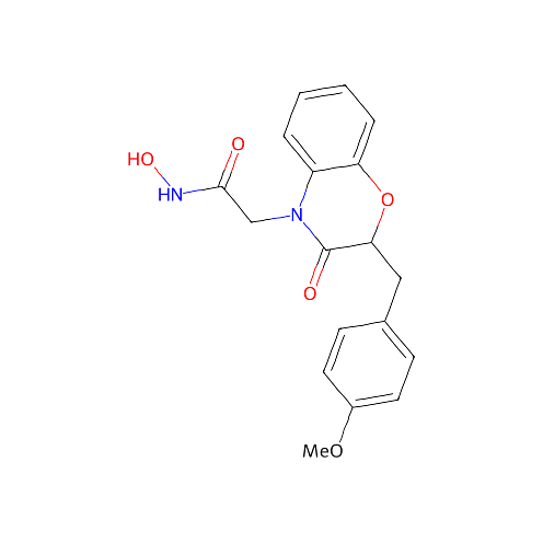 COc1ccc(CC2Oc3ccccc3N(CC(=O)NO)C2=O)cc1